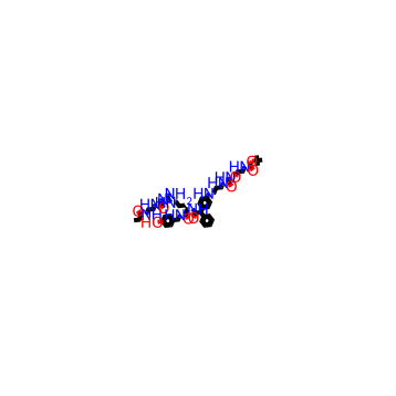 CCC(=O)NCCNC(=O)/N=C(/N)NCCC[C@@H](NC(=O)C(c1ccccc1)c1ccc(NCCCNC(=O)NOCCNC(=O)OC(C)(C)C)cc1)C(=O)NCc1ccc(O)cc1